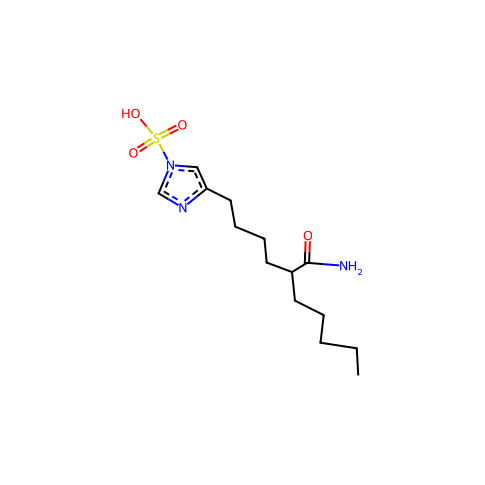 CCCCCC(CCCCc1cn(S(=O)(=O)O)cn1)C(N)=O